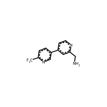 NCc1cc(-c2ccc(C(F)(F)F)nc2)ccn1